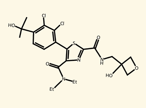 CCN(CC)C(=O)c1nc(C(=O)NCC2(O)COC2)sc1-c1ccc(C(C)(C)O)c(Cl)c1Cl